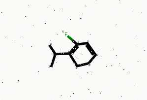 CC(C)C1=C(F)C=CCC1